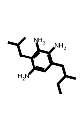 CCC(C)Cc1cc(N)c(CC(C)C)c(N)c1N